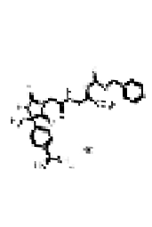 CC1(c2ccc(C(=N)N)cc2)NC(=O)N(CC(=O)NCC(NC(=O)OCc2ccccc2)C(=O)O)C1=O.Cl